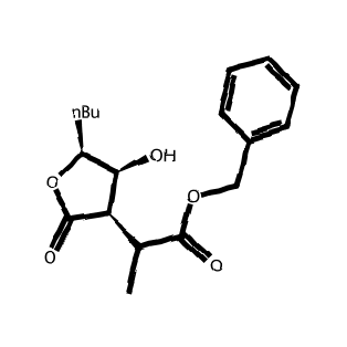 CCCC[C@@H]1OC(=O)[C@H](C(C)C(=O)OCc2ccccc2)[C@@H]1O